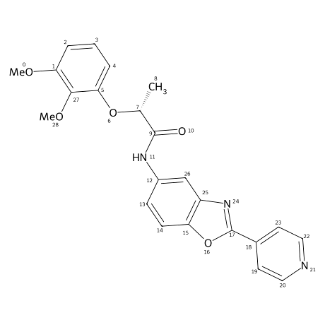 COc1cccc(O[C@H](C)C(=O)Nc2ccc3oc(-c4ccncc4)nc3c2)c1OC